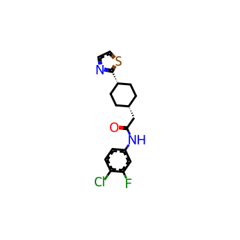 O=C(C[C@H]1CC[C@@H](c2nccs2)CC1)Nc1ccc(Cl)c(F)c1